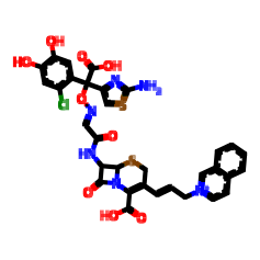 Nc1nc(C(ON=CC(=O)NC2C(=O)N3C(C(=O)O)=C(C=CC[n+]4ccc5ccccc5c4)CSC23)(C(=O)O)c2cc(O)c(O)cc2Cl)cs1